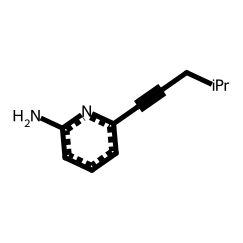 CC(C)CC#Cc1cccc(N)n1